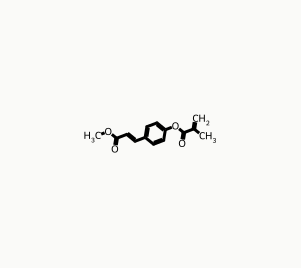 C=C(C)C(=O)Oc1ccc(C=CC(=O)OC)cc1